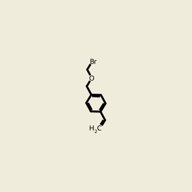 C=Cc1ccc(COCBr)cc1